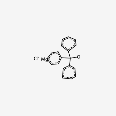 [Cl-].[Mg+2].[O-]C(c1ccccc1)(c1ccccc1)c1ccccc1